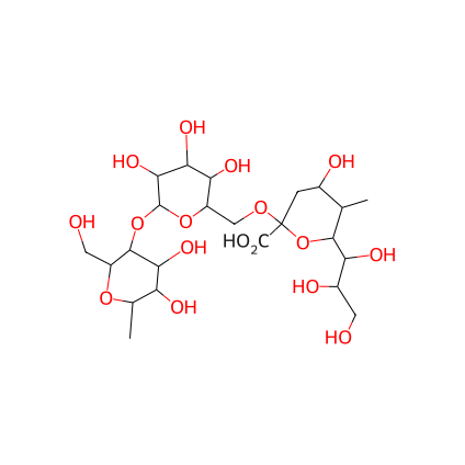 CC1OC(CO)C(OC2OC(COC3(C(=O)O)CC(O)C(C)C(C(O)C(O)CO)O3)C(O)C(O)C2O)C(O)C1O